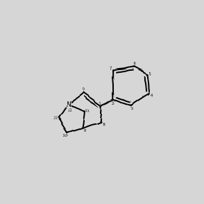 C1=C(c2ccccc2)CC2CCN1C2